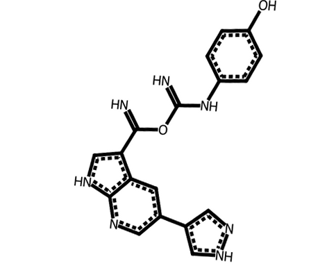 N=C(Nc1ccc(O)cc1)OC(=N)c1c[nH]c2ncc(-c3cn[nH]c3)cc12